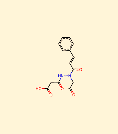 O=[C]CN(NC(=O)CC(=O)O)C(=O)C=Cc1ccccc1